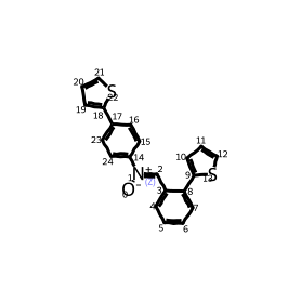 [O-]/[N+](=C\c1ccccc1-c1cccs1)c1ccc(-c2cccs2)cc1